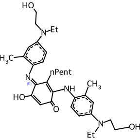 CCCCCC1=C(Nc2ccc(N(CC)CCO)cc2C)C(=O)C=C(O)/C1=N/c1ccc(N(CC)CCO)cc1C